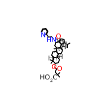 C=C(C)[C@@H]1CC[C@]2(C(=O)NCCc3ccccn3)CC[C@]3(C)[C@H](CC[C@@H]4[C@@]5(C)CC[C@H](OC(=O)CC(C)(C)C(=O)O)C(C)(C)[C@@H]5CC[C@]43C)[C@@H]12